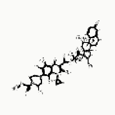 COc1c(N2CCN(C(=O)OC(C)(C)C)C(C)C2)c(F)c(C)c2c(=O)c(C(=O)OC(C)(C)C(=O)[C@@]3(O)[C@H](C)C[C@H]4[C@@H]5CCC6=CC(=O)C=C[C@]6(C)[C@@]5(F)[C@@H](O)C[C@@]43C)c(C)n(C3CC3)c12